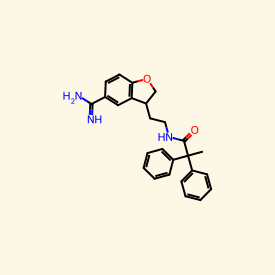 CC(C(=O)NCCC1COc2ccc(C(=N)N)cc21)(c1ccccc1)c1ccccc1